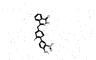 Nc1ccc(-c2ccc(Cc3n[nH]c(=O)c4ccccc34)cc2F)cc1[N+](=O)[O-]